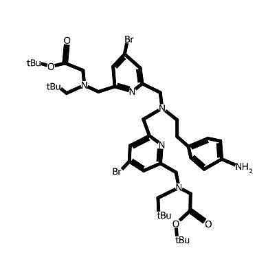 CC(C)(C)CN(CC(=O)OC(C)(C)C)Cc1cc(Br)cc(CN(CCc2ccc(N)cc2)Cc2cc(Br)cc(CN(CC(=O)OC(C)(C)C)CC(C)(C)C)n2)n1